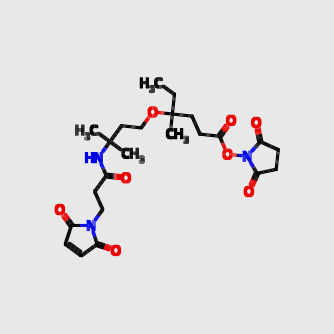 CCC(C)(CCC(=O)ON1C(=O)CCC1=O)OCCC(C)(C)NC(=O)CCN1C(=O)C=CC1=O